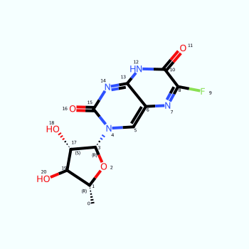 C[C@H]1O[C@@H](n2cc3nc(F)c(=O)[nH]c3nc2=O)[C@@H](O)C1O